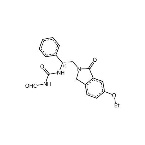 CCOc1ccc2c(c1)C(=O)N(C[C@H](NC(=O)NC=O)c1ccccc1)C2